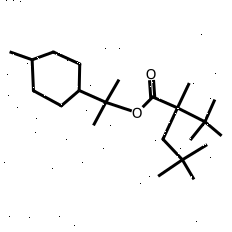 CC1CCC(C(C)(C)OC(=O)C(C)(CC(C)(C)C)C(C)(C)C)CC1